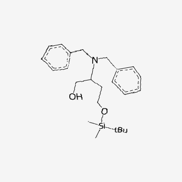 CC(C)(C)[Si](C)(C)OCCC(CO)N(Cc1ccccc1)Cc1ccccc1